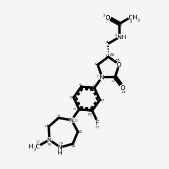 CC(=O)NC[C@H]1CN(c2ccc(N3CCNN(C)CC3)c(F)c2)C(=O)O1